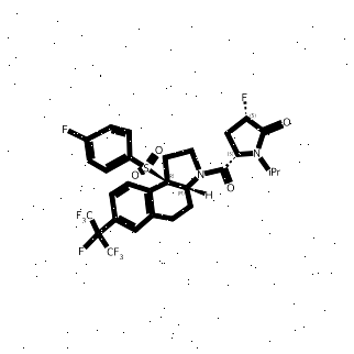 CC(C)N1C(=O)[C@@H](F)C[C@H]1C(=O)N1CC[C@@]2(S(=O)(=O)c3ccc(F)cc3)c3ccc(C(F)(C(F)(F)F)C(F)(F)F)cc3CC[C@@H]12